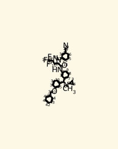 CN(C1CC1)C(c1cccc(NC(=O)c2cc(C(F)(F)F)nn2-c2cccc(C#N)c2)c1)c1cccc(OCc2ccccc2)c1